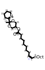 CCCCCCCC/C=C\CCCCCCCC(=O)OC1COC(C)(C2=NCCCC2)OC1